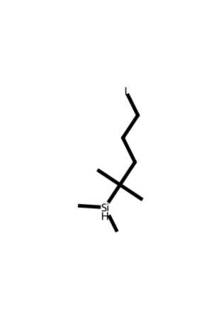 C[SiH](C)C(C)(C)CCCI